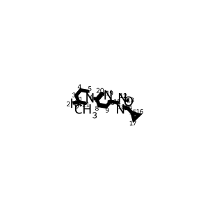 C[C@]1(I)CCCN(c2ccc(-c3noc(C4CC4)n3)nc2)C1